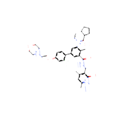 CCN(C(=O)C1CCCC1)c1cc(-c2ccc(OCCN3CCOCC3)cc2Cl)cc(C(=O)NCc2c(C)cc(C)[nH]c2=O)c1C